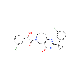 O=C(C(O)c1cccc(Cl)c1)N1CCCc2nc(C3(c4cccc(Cl)c4)CC3)[nH]c(=O)c2C1